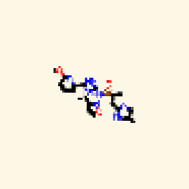 COc1cccc(-c2nnc(N[S+]([O-])C(C)Cc3ncc(C)cn3)n2[C@H](C)c2ccon2)n1